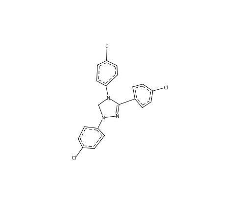 Clc1ccc(C2=NN(c3ccc(Cl)cc3)CN2c2ccc(Cl)cc2)cc1